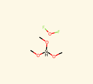 CO[SiH](OC)OC.FOF